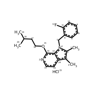 Cc1c(C)n(Cc2ccccc2F)c2c(OCCC(C)C)nccc12.Cl